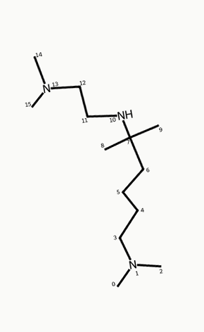 CN(C)CCCCC(C)(C)NCCN(C)C